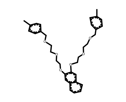 Cc1ccc(COCCOCCOc2cc3ccccc3cc2OCCOCCOCc2ccc(C)cc2)cc1